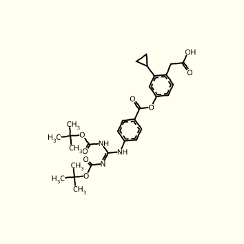 CC(C)(C)OC(=O)/N=C(\NC(=O)OC(C)(C)C)Nc1ccc(C(=O)Oc2ccc(CC(=O)O)c(C3CC3)c2)cc1